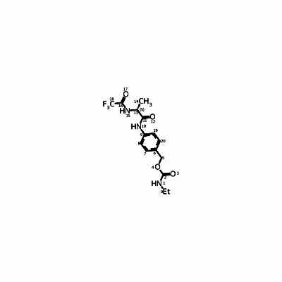 CCNC(=O)OCc1ccc(NC(=O)[C@H](C)NC(=O)C(F)(F)F)cc1